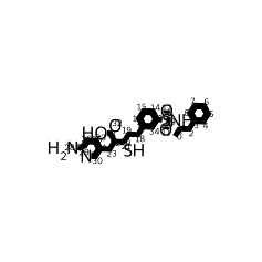 CC(Cc1ccccc1)NS(=O)(=O)c1cccc(CCC(S)C(Cc2ccc(N)nc2)C(=O)O)c1